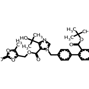 Cc1oc(=O)oc1COC(=O)c1c(C(C)(C)O)ncn1Cc1ccc(-c2ccccc2C(=O)OC(C)(C)C)cc1